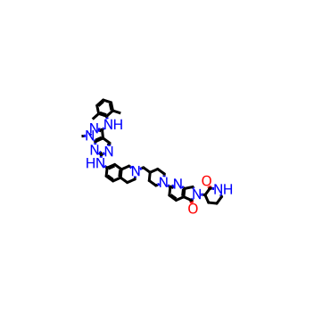 Cc1cccc(C)c1Nc1nn(C)c2nc(Nc3ccc4c(c3)CN(CC3CCN(c5ccc6c(n5)CN(C5CCCNC5=O)C6=O)CC3)CC4)ncc12